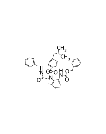 CC(C)Cc1ccc(S(=O)(=O)N2c3c(cccc3NC(=O)OCc3ccccc3)CC2C(=O)NCCc2ccccc2)cc1